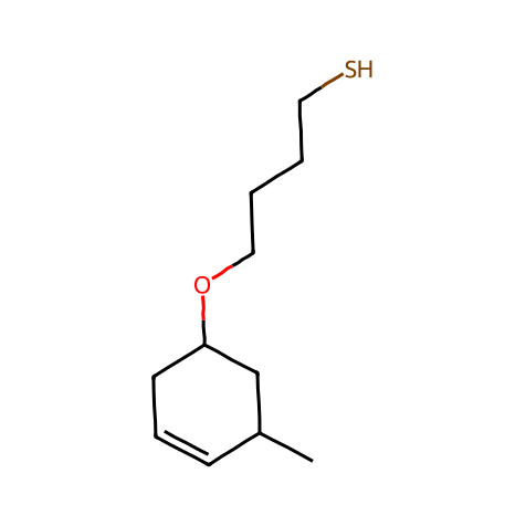 CC1C=CCC(OCCCCS)C1